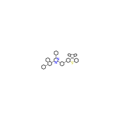 c1ccc(-c2cc(-c3ccc(-c4ccccc4)c4ccccc34)nc(-c3cccc(-c4ccc5c(c4)Sc4ccccc4C54c5ccccc5-c5ccccc54)c3)n2)cc1